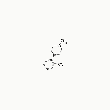 CN1CCN(c2cc[c]cc2C#N)CC1